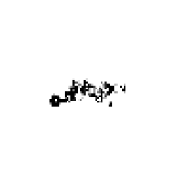 C[C@@H]1CN(c2ncc(C#N)cn2)[C@@H](C)CN1C(=O)OC1(C)CC2(CN(Cc3ccccc3)C2)C1